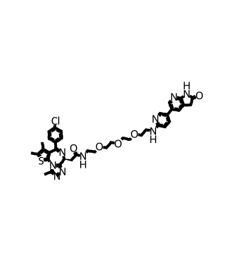 Cc1sc2c(c1C)C(c1ccc(Cl)cc1)=N[C@@H](CC(=O)NCCOCCOCCOCCNc1ccc(-c3cnc4c(c3)CC(=O)N4)cn1)c1nnc(C)n1-2